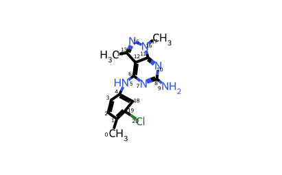 Cc1ccc(Nc2nc(N)nc3c2c(C)nn3C)cc1Cl